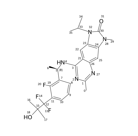 Cc1nc(N[C@H](C)c2cccc(C(F)(F)C(C)(C)O)c2F)c2cc3c(cc2n1)n(C)c(=O)n3C(C)C